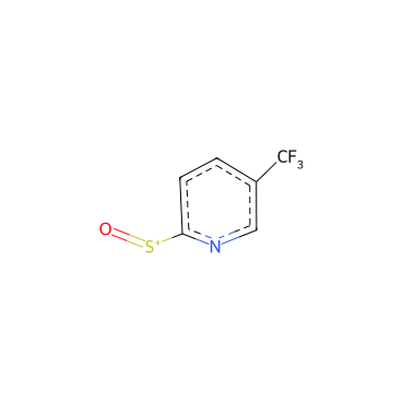 O=[S+]c1ccc(C(F)(F)F)cn1